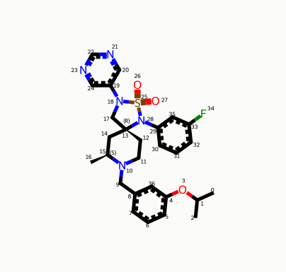 CC(C)Oc1cccc(CN2CC[C@@]3(C[C@@H]2C)CN(c2cncnc2)S(=O)(=O)N3c2cccc(F)c2)c1